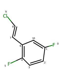 Fc1ccc(F)c(C=CCl)c1